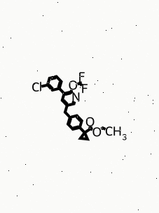 CCOC(=O)C1(c2ccc(Cc3cnc(OC(F)F)c(-c4cccc(Cl)c4)c3)cc2)CC1